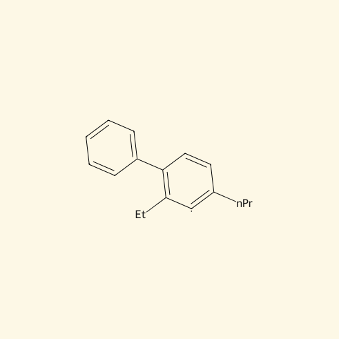 CCCc1[c]c(CC)c(-c2ccccc2)cc1